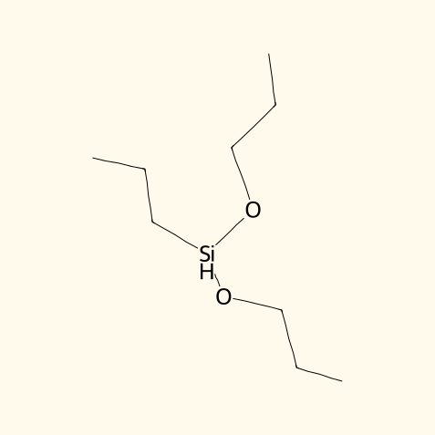 CCCO[SiH](CCC)OCCC